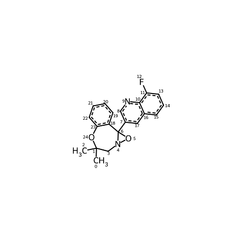 CC1(C)CN2OC2(c2cnc3c(F)cccc3c2)c2ccccc2O1